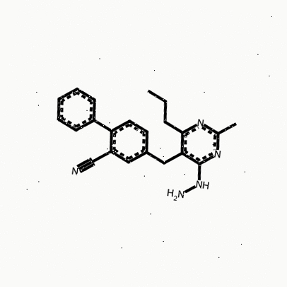 CCCc1nc(C)nc(NN)c1Cc1ccc(-c2ccccc2)c(C#N)c1